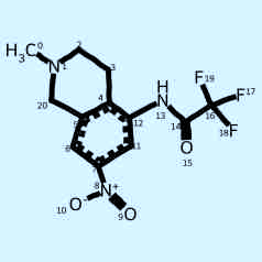 CN1CCc2c(cc([N+](=O)[O-])cc2NC(=O)C(F)(F)F)C1